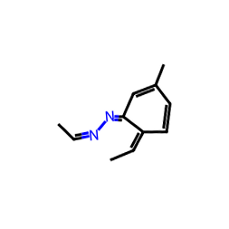 C\C=N/N=C1/C=C(C)C=C/C1=C/C